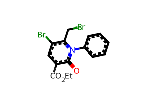 CCOC(=O)c1cc(Br)c(CBr)n(-c2ccccc2)c1=O